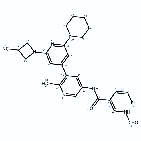 CC/C=C\C(=C/NC=O)C(=O)Nc1cnc(C)c(-c2cc(N3CCCCC3)nc(N3CC(C#N)C3)c2)c1